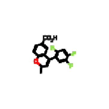 CC1C=C(c2cc(F)c(F)cc2F)c2cc(C(=O)O)ccc2O1